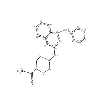 NC(=O)C1CCC(Nc2nc(Nc3ccccc3)c3ccccc3n2)CC1